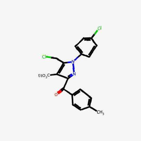 CCOC(=O)c1c(C(=O)c2ccc(C)cc2)nn(-c2ccc(Cl)cc2)c1CCl